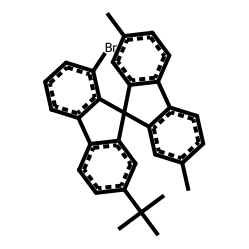 Cc1ccc2c(c1)C1(c3cc(C)ccc3-2)c2cc(C(C)(C)C)ccc2-c2cccc(Br)c21